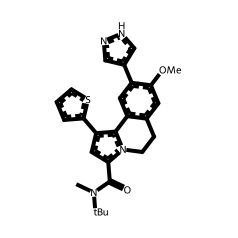 COc1cc2c(cc1-c1cn[nH]c1)-c1c(-c3cccs3)cc(C(=O)N(C)C(C)(C)C)n1CC2